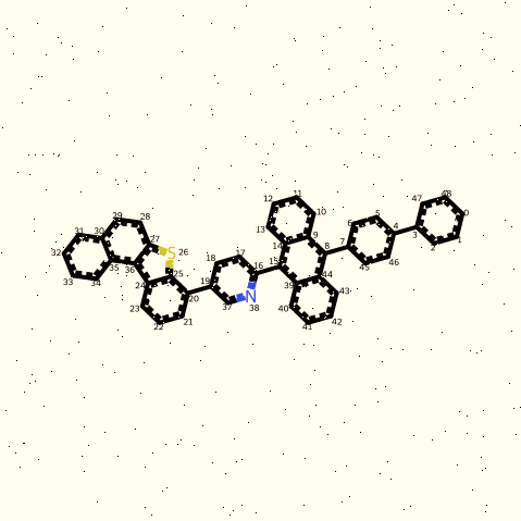 c1ccc(-c2ccc(-c3c4ccccc4c(-c4ccc(-c5cccc6c5sc5ccc7ccccc7c56)cn4)c4ccccc34)cc2)cc1